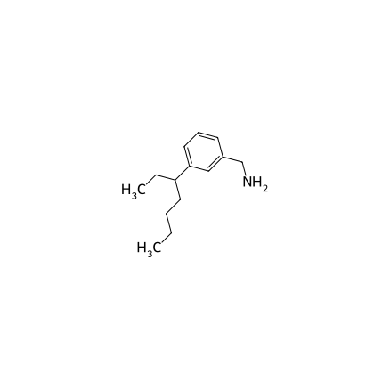 CCCCC(CC)c1cccc(CN)c1